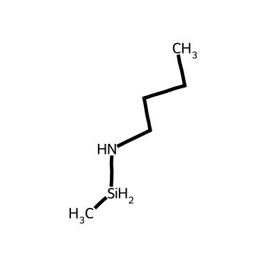 CCCCN[SiH2]C